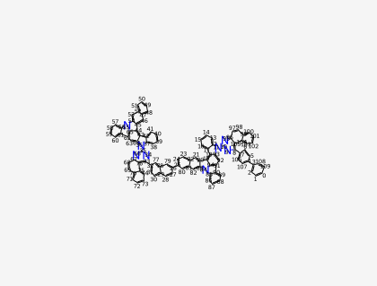 c1ccc(-c2ccc(-c3nc(-n4c5ccccc5c5c6c7cc8ccc(-c9ccc%10ccc(-c%11nc(-n%12c%13ccccc%13c%13c%14c%15cc%16ccccc%16cc%15n%15c%16ccccc%16c(cc%13%12)c%14%15)nc%12ccc%13ccccc%13c%11%12)cc%10c9)cc8cc7n7c8ccccc8c(cc54)c67)nc4ccc5ccccc5c34)cc2)cc1